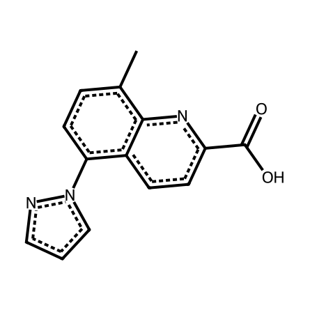 Cc1ccc(-n2cccn2)c2ccc(C(=O)O)nc12